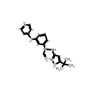 CC(C)(C)c1cc(NN(C=O)c2cccc(Sc3ccncc3)c2)no1